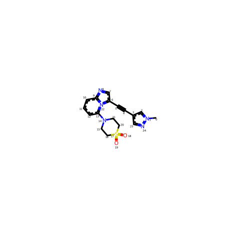 Cn1cc(C#Cc2cnc3cccc(N4CCS(=O)(=O)CC4)n23)cn1